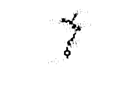 C[C@@H](CC(=O)OC(C)(C)C)[C@@H](COCOC(C)(C)C)NC(=O)N[C@@H](CCCCNC(=O)NCc1ccc(CC(=O)O)cc1)C(=O)OC(C)(C)C